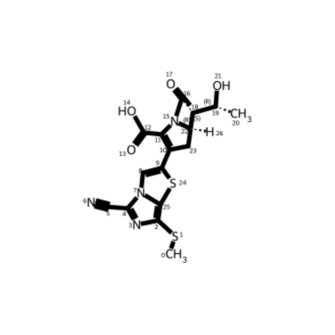 CSc1nc(C#N)n2cc(C3=C(C(=O)O)N4C(=O)[C@H]([C@@H](C)O)[C@H]4C3)sc12